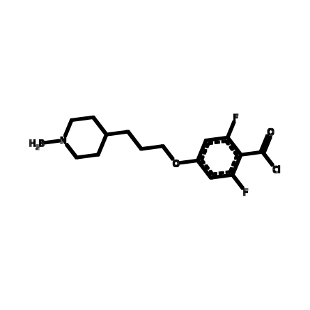 BN1CCC(CCCOc2cc(F)c(C(=O)Cl)c(F)c2)CC1